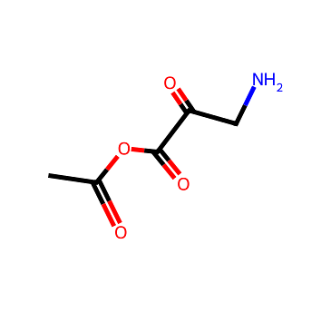 CC(=O)OC(=O)C(=O)CN